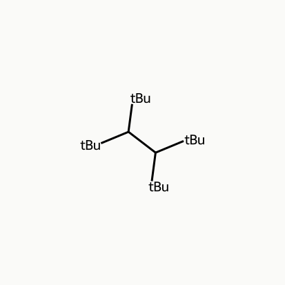 CC(C)(C)C(C(C(C)(C)C)C(C)(C)C)C(C)(C)C